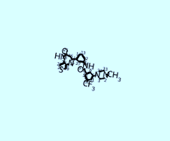 CN1CCN(c2cc(C(=O)Nc3cccc(C4=Nc5cscc5NC(=O)C4)c3)cc(C(F)(F)F)c2)CC1